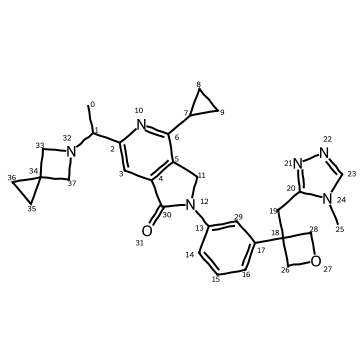 CC(c1cc2c(c(C3CC3)n1)CN(c1cccc(C3(Cc4nncn4C)COC3)c1)C2=O)N1CC2(CC2)C1